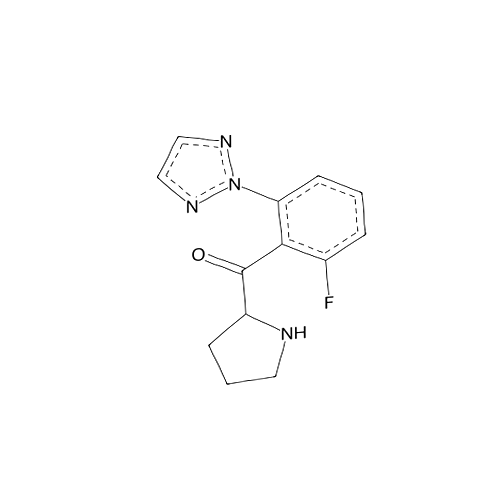 O=C(c1c(F)cccc1-n1nccn1)C1CCCN1